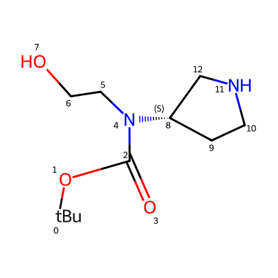 CC(C)(C)OC(=O)N(CCO)[C@H]1CCNC1